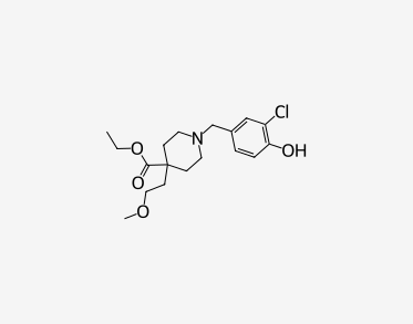 CCOC(=O)C1(CCOC)CCN(Cc2ccc(O)c(Cl)c2)CC1